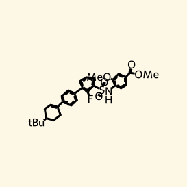 COC(=O)c1ccc(NS(=O)(=O)c2cccc(-c3ccc(C4=CCC(C(C)(C)C)CC4)cc3)c2F)c(OC)c1